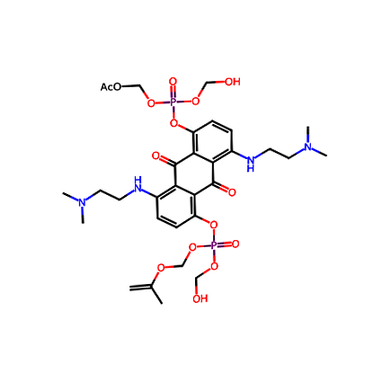 C=C(C)OCOP(=O)(OCO)Oc1ccc(NCCN(C)C)c2c1C(=O)c1c(NCCN(C)C)ccc(OP(=O)(OCO)OCOC(C)=O)c1C2=O